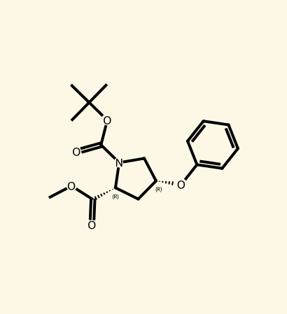 COC(=O)[C@H]1C[C@@H](Oc2ccccc2)CN1C(=O)OC(C)(C)C